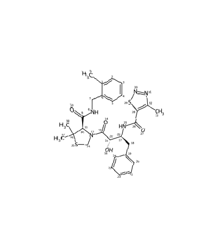 Cc1ccccc1CNC(=O)[C@H]1N(C(=O)[C@@H](O)[C@H](Cc2ccccc2)NC(=O)c2snnc2C)CSC1(C)C